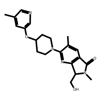 Cc1cncc(OC2CCN(c3nc4c(cc3C)C(=O)N(C)C4CO)CC2)c1